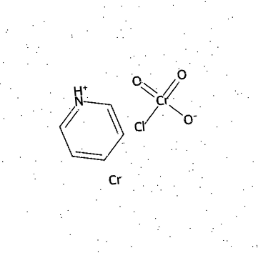 [Cr].[O]=[Cr](=[O])([O-])[Cl].c1cc[nH+]cc1